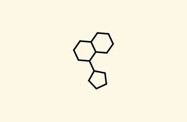 C1CCC2C(C1)CCCC2C1CCCC1